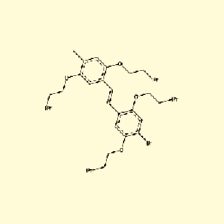 Cc1cc(OCCC(C)C)c(/C=C/c2cc(OCCC(C)C)c(Br)cc2OCCC(C)C)cc1OCCC(C)C